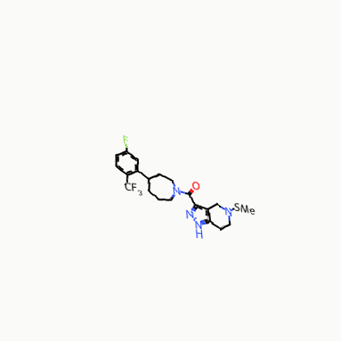 CSN1CCc2[nH]nc(C(=O)N3CCCC(c4cc(F)ccc4C(F)(F)F)CC3)c2C1